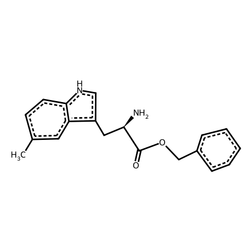 Cc1ccc2[nH]cc(C[C@@H](N)C(=O)OCc3ccccc3)c2c1